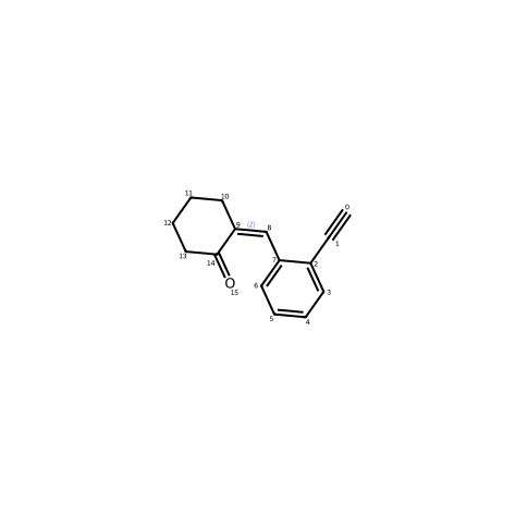 C#Cc1ccccc1/C=C1/CCCCC1=O